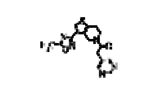 O=C(Cc1cncnc1)N1CCc2scc(-c3noc(C(F)(F)F)n3)c2C1